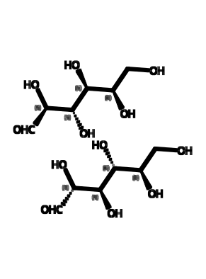 O=C[C@@H](O)[C@@H](O)[C@@H](O)[C@H](O)CO.O=C[C@H](O)[C@H](O)[C@H](O)[C@H](O)CO